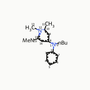 CCCCN(c1ccccc1)c1cc(C)[n+](C)c(NC)c1